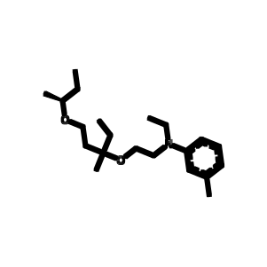 CC[C@H](C)OCCC(C)(CC)OCCN(CC)c1cccc(C)c1